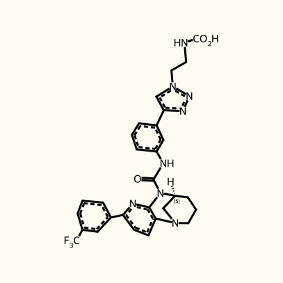 O=C(O)NCCn1cc(-c2cccc(NC(=O)N3c4nc(-c5cccc(C(F)(F)F)c5)ccc4N4CCC[C@H]3C4)c2)nn1